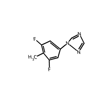 Cc1c(F)cc(-n2cncn2)cc1F